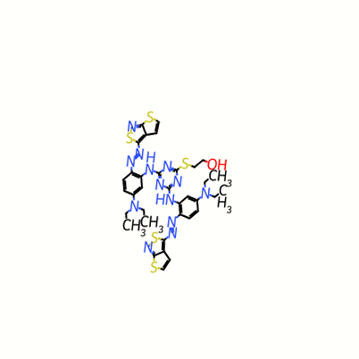 CCN(CC)c1ccc(/N=N/c2snc3sccc23)c(Nc2nc(Nc3cc(N(CC)CC)ccc3/N=N/c3snc4sccc34)nc(SCCO)n2)c1